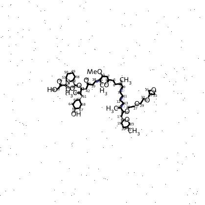 CO[C@@H](CC(=O)CC[C@H](C)/C=C/C=C/C=C(\C)C(C[C@@H]1CC[C@@H](C)CO1)OCCOCCOC1COC1)/C(C)=C/CC(=O)C[C@H](OC(=O)[C@@H]1CCCCN1C(=O)C(=O)CO)[C@H](C)C[C@H]1CC[C@H](O)CC1